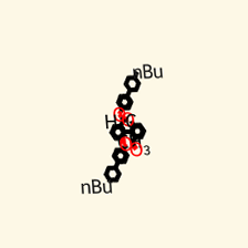 CCCCC1CCC(c2ccc(OC(=O)c3cccc(C)c3-c3c(C)cccc3C(=O)Oc3ccc(C4CCC(CCCC)CC4)cc3)cc2)CC1